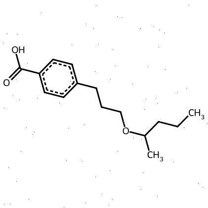 CCCC(C)OCCCc1ccc(C(=O)O)cc1